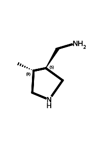 C[C@H]1CNC[C@@H]1CN